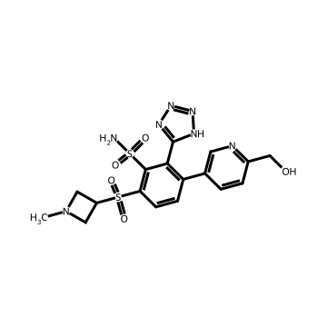 CN1CC(S(=O)(=O)c2ccc(-c3ccc(CO)nc3)c(-c3nnn[nH]3)c2S(N)(=O)=O)C1